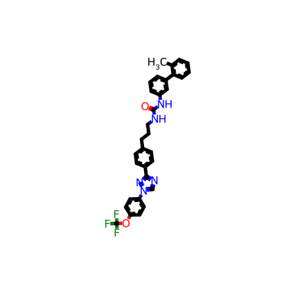 Cc1ccccc1-c1cccc(NC(=O)NCCCc2ccc(-c3ncn(-c4ccc(OC(F)(F)F)cc4)n3)cc2)c1